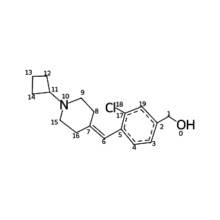 OCc1ccc(C=C2CCN(C3CCC3)CC2)c(Cl)c1